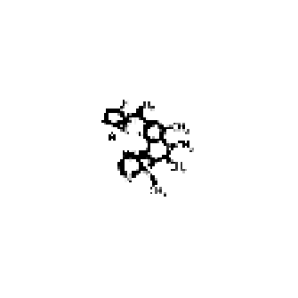 C=C(c1cc2cccnc2n1CC)N(C)c1c(C)cc(C(=C)N2C[C@H]3CC[C@@H]2[C@@H]3C)cc1CC